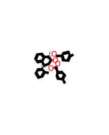 Cc1ccc(C(=O)OC2C(OC(=O)c3ccc(C)cc3)[C@@H](C)c3ccccc3[C@@H]2c2ccccc2C)cc1